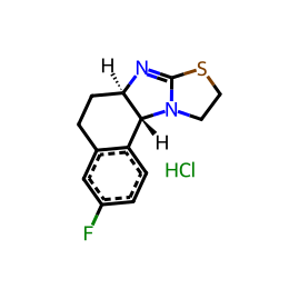 Cl.Fc1ccc2c(c1)CC[C@H]1N=C3SCCN3[C@H]21